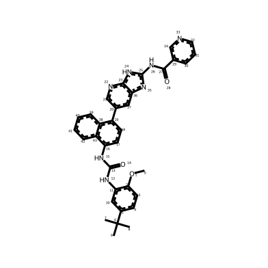 COc1ccc(C(C)(C)C)cc1NC(=O)Nc1ccc(-c2cnc3[nH]c(NC(=O)c4cccnc4)nc3c2)c2ccccc12